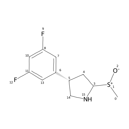 C[S+]([O-])C1C[C@@H](c2cc(F)cc(F)c2)CN1